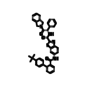 CC(C)(C)c1ccc(-c2ccccc2C(=O)Nc2ccc3nc(C(=O)N[C@H](C(=O)N4Cc5ccccc5C4)c4ccccc4)sc3c2)cc1